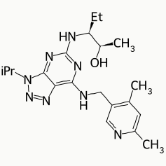 CC[C@H](Nc1nc(NCc2cnc(C)cc2C)c2nnn(C(C)C)c2n1)[C@@H](C)O